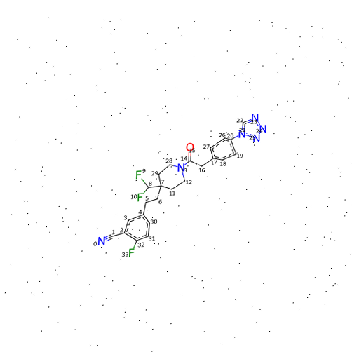 N#Cc1cc(CCC2(C(F)F)CCN(C(=O)Cc3ccc(-n4cnnn4)cc3)CC2)ccc1F